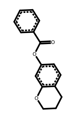 O=C(Oc1ccc2c(c1)OCCC2)c1ccccc1